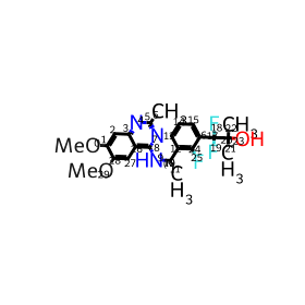 COc1cc2nc(C)nc(N[C@H](C)c3cccc(C(F)(F)C(C)(C)O)c3F)c2cc1OC